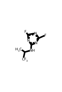 CC(Nc1nc(F)nc(F)n1)C(F)(F)F